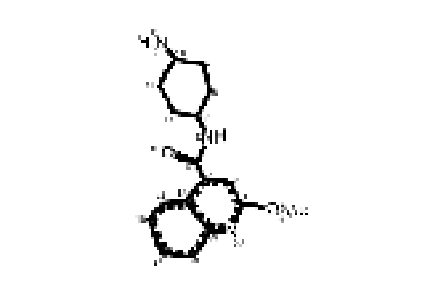 COc1cc(C(=O)NC2CCC(N)CC2)c2ccccc2n1